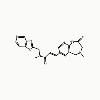 CN1CC(=O)Nc2ncc(C=CC(=O)N(C)Cc3cc4cnccc4s3)cc2C1